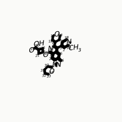 Cc1cc(-c2c(C3CCOCC3)nc(OC3CC(C(=O)O)C3)c3cc4c(cnn4C4CCCCO4)cc23)ccn1